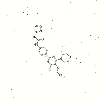 CCOc1c(Cl)nc(-c2ccc(NC(=O)Nc3ccon3)cc2)nc1N1CCOCC1